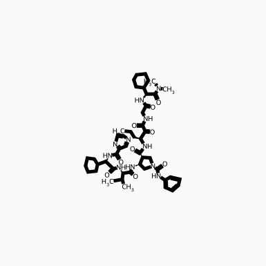 CCC[C@H](NC(=O)[C@@H]1CN(C(=O)Nc2ccccc2)C[C@@H]1NC(=O)[C@@H](NC(=O)[C@@H](NC(=O)c1cnccn1)C1CCCCC1)C(C)C)C(=O)C(=O)NCC(=O)N[C@H](C(=O)N(C)C)C1CCCCC1